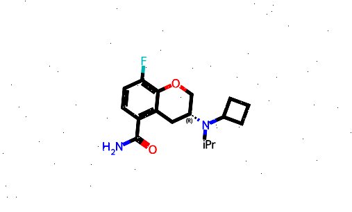 CC(C)N(C1CCC1)[C@H]1COc2c(F)ccc(C(N)=O)c2C1